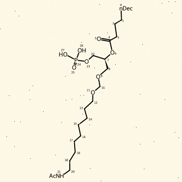 CCCCCCCCCCCCCC(=O)O[C@@H](COCOCCCCCCCCCNC(C)=O)COP(=O)(O)O